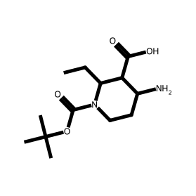 CCC1C(C(=O)O)C(N)CCN1C(=O)OC(C)(C)C